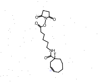 O=C(CCCCCNC(=O)C1(F)C/C=C\CCCC1)ON1C(=O)CCC1=O